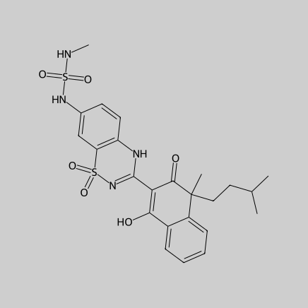 CNS(=O)(=O)Nc1ccc2c(c1)S(=O)(=O)N=C(C1=C(O)c3ccccc3C(C)(CCC(C)C)C1=O)N2